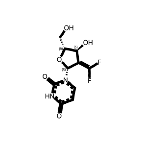 O=c1ccn([C@@H]2O[C@H](CO)[C@@H](O)C2=C(F)F)c(=O)[nH]1